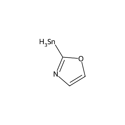 [SnH3][c]1ncco1